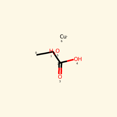 CCC(=O)O.O.[Cu]